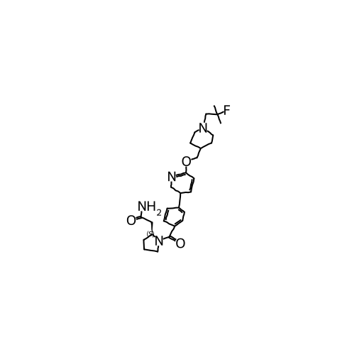 CC(C)(F)CN1CCC(COC2=NCC(c3ccc(C(=O)N4CCC[C@H]4CC(N)=O)cc3)C=C2)CC1